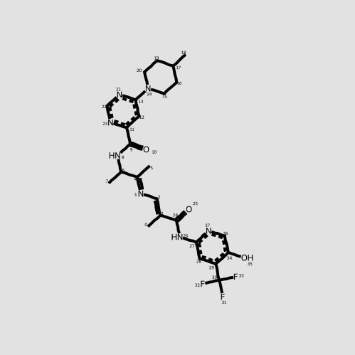 C/C(=C\N=C(/C)C(C)NC(=O)c1cc(N2CCC(C)CC2)ncn1)C(=O)Nc1cc(C(F)(F)F)c(O)cn1